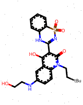 CC(C)(C)CCn1c(=O)c(C2=NS(=O)(=O)c3ccccc3N2)c(O)c2cc(NCCO)ccc21